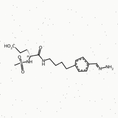 CS(=O)(=O)N[C@H](CCC(=O)O)C(=O)NCCCCc1ccc(C=NN)cc1